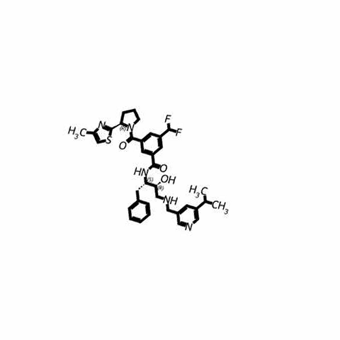 Cc1csc([C@H]2CCCN2C(=O)c2cc(C(=O)N[C@@H](Cc3ccccc3)[C@H](O)CNCc3cncc(C(C)C)c3)cc(C(F)F)c2)n1